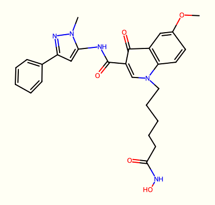 COc1ccc2c(c1)c(=O)c(C(=O)Nc1cc(-c3ccccc3)nn1C)cn2CCCCCC(=O)NO